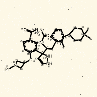 Cc1c(CC(NC(N)=O)C2(c3cc(C(N)=O)ccc3OC3CN(C(C)C)C3)C=CNN2)cccc1C1CCC(C)(C)CC1